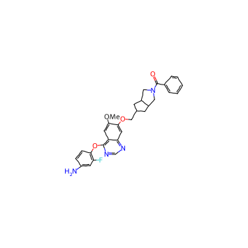 COc1cc2c(Oc3ccc(N)cc3F)ncnc2cc1OCC1CC2CN(C(=O)c3ccccc3)CC2C1